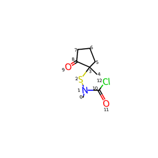 CN(SC1(C)CCCC1=O)C(=O)Cl